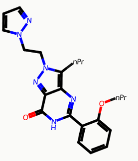 CCCOc1ccccc1-c1nc2c(CCC)n(CCn3cccn3)nc2c(=O)[nH]1